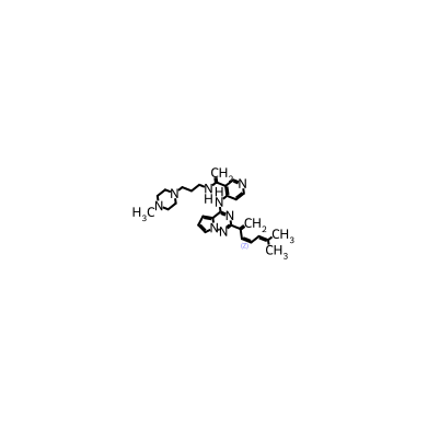 C=C(/C=C\C=C(C)C)c1nc(Nc2ccncc2C(=C)NCCCN2CCN(C)CC2)c2cccn2n1